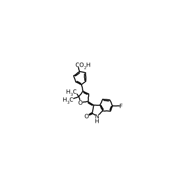 CC1(C)OC(=C2C(=O)Nc3cc(F)ccc32)C=C1c1ccc(C(=O)O)cc1